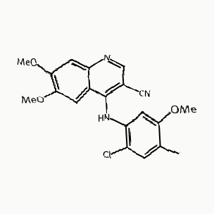 COc1cc(Nc2c(C#N)cnc3cc(OC)c(OC)cc23)c(Cl)cc1C